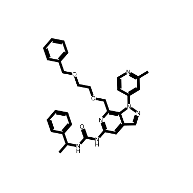 Cc1cc(-n2ncc3cc(NC(=O)NC(C)c4ccccc4)nc(COCCOCc4ccccc4)c32)ccn1